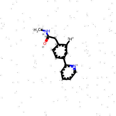 [2H]c1cc(-c2ccccn2)ccc1CC(=O)NC